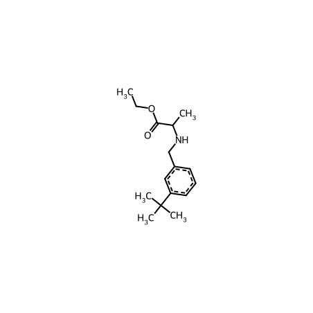 CCOC(=O)C(C)NCc1cccc(C(C)(C)C)c1